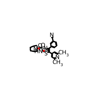 Cc1cc(-c2sc(NC(=O)N3C4CCC3CN(C(=O)O)C4)nc2-c2cccc(C#N)c2)cc(C)n1